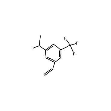 C=Cc1cc(C(C)C)cc(C(F)(F)F)c1